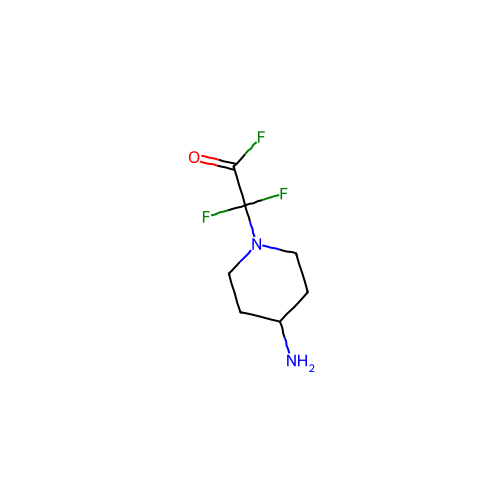 NC1CCN(C(F)(F)C(=O)F)CC1